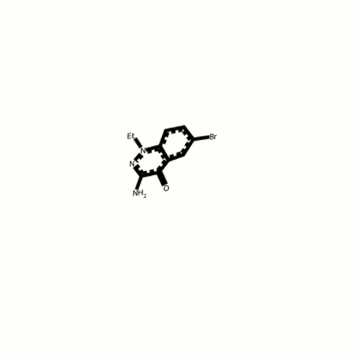 CCn1nc(N)c(=O)c2cc(Br)ccc21